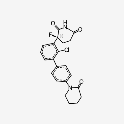 O=C1CC[C@](F)(c2cccc(-c3ccc(N4CCCCC4=O)cc3)c2Cl)C(=O)N1